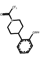 COc1ccccc1C1CCN(C(=O)C(F)(F)F)CC1